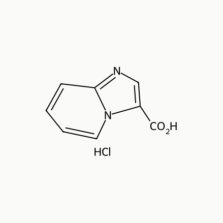 Cl.O=C(O)c1cnc2ccccn12